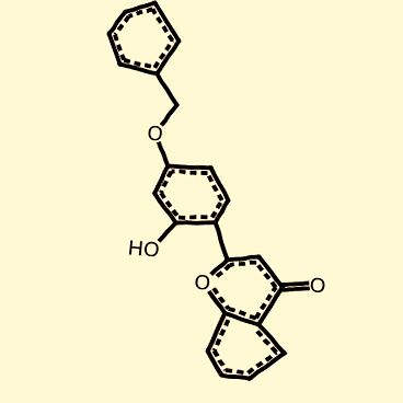 O=c1cc(-c2ccc(OCc3ccccc3)cc2O)oc2ccccc12